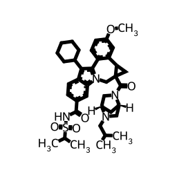 COc1ccc2c(c1)C1CC1(C(=O)N1C[C@@H]3C[C@H]1CN3CC(C)C)Cn1c-2c(C2CCCCC2)c2ccc(C(=O)NS(=O)(=O)C(C)C)cc21